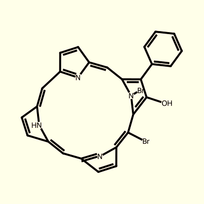 Oc1c(-c2ccccc2)c2cc3nc(cc4ccc(cc5nc(c(Br)c1n2Br)C=C5)[nH]4)C=C3